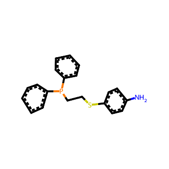 Nc1ccc(SCCP(c2ccccc2)c2ccccc2)cc1